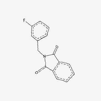 O=C1c2ccccc2C(=O)N1Cc1cccc(F)c1